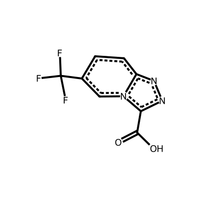 O=C(O)c1nnc2ccc(C(F)(F)F)cn12